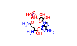 NC(=O)CCC(N)C(=O)O.Nc1ncnc2c1ncn2[C@@H]1O[C@H](COP(=O)(O)O)[C@@H](O)[C@H]1O